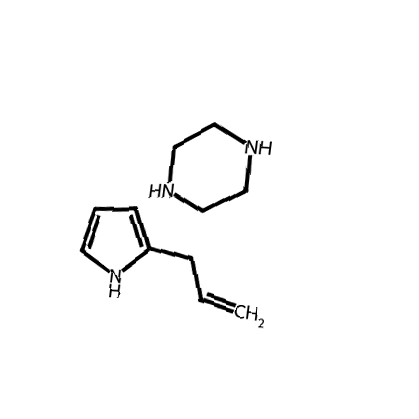 C1CNCCN1.C=CCc1ccc[nH]1